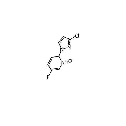 O=[N+]1C=C(F)C=CC1n1ccc(Cl)n1